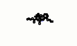 C=CCOC(=O)[C@@H]1N2C(=O)/C(=C/c3ncccc3OCC=C)[C@H]2S(=O)(=O)C1(C)C